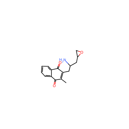 CC1=C(CC(N)CC2CO2)C(=O)c2ccccc2C1=O